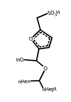 CCCCCCCC(CCCCCC)OC(O)c1ccc(CS(=O)(=O)O)o1